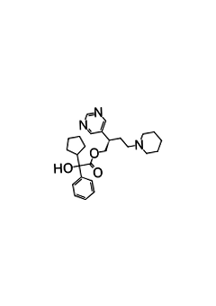 O=C(OC[C@H](CCN1CCCCC1)c1cncnc1)C(O)(c1ccccc1)C1CCCC1